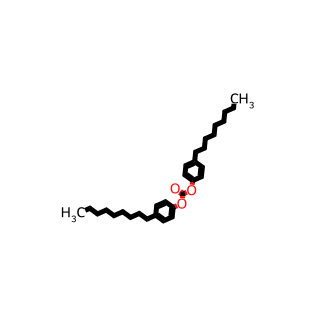 CCCCCCCCCc1ccc(OC(=O)Oc2ccc(CCCCCCCCC)cc2)cc1